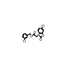 O=C(Cn1c(=O)oc2cc(Cl)ccc21)OCc1cccc(Cl)c1